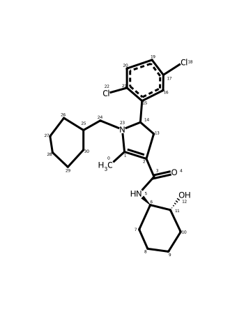 CC1=C(C(=O)N[C@@H]2CCCC[C@H]2O)CC(c2cc(Cl)ccc2Cl)N1CC1CCCCC1